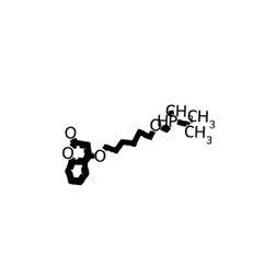 CC(C)/[PH](C)=C/OCCCCCCOc1cc(=O)oc2ccccc12